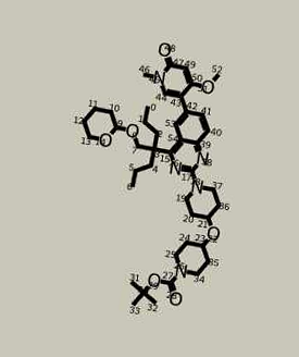 CCCC(CCC)(COC1CCCCO1)c1nc(N2CCC(OC3CCN(C(=O)OC(C)(C)C)CC3)CC2)nc2ccc(-c3cn(C)c(=O)cc3OC)cc12